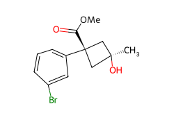 COC(=O)[C@]1(c2cccc(Br)c2)C[C@](C)(O)C1